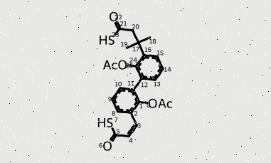 CC(=O)Oc1c(/C=C\C(=O)S)cccc1-c1cccc(C(C)(C)CC(=O)S)c1OC(C)=O